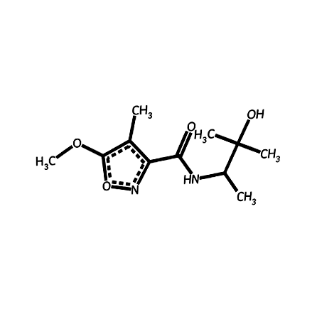 COc1onc(C(=O)NC(C)C(C)(C)O)c1C